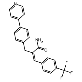 NC(=O)C(=Cc1ccc(C(F)(F)F)cc1)Cc1ccc(-c2ccncc2)cc1